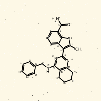 Cc1sc2c(C(N)=O)cccc2c1-c1nc2c(c(NCc3ccccc3)n1)CCCC2